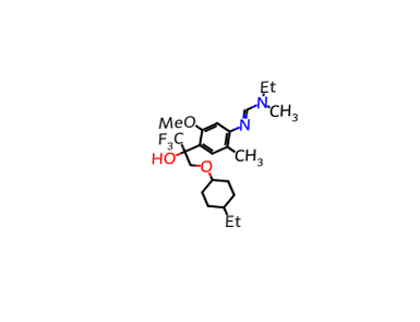 CCC1CCC(OCC(O)(c2cc(C)c(N=CN(C)CC)cc2OC)C(F)(F)F)CC1